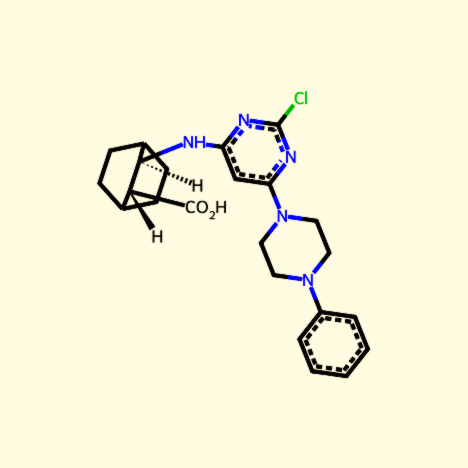 O=C(O)[C@@H]1C2CCC(CC2)[C@H]1Nc1cc(N2CCN(c3ccccc3)CC2)nc(Cl)n1